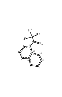 FC(F)(F)C(=S)c1cccc2ccccc12